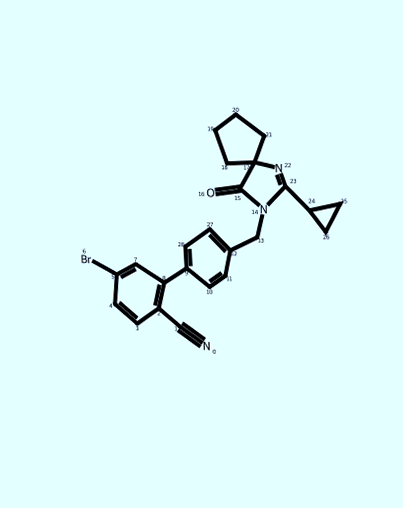 N#Cc1ccc(Br)cc1-c1ccc(CN2C(=O)C3(CCCC3)N=C2C2CC2)cc1